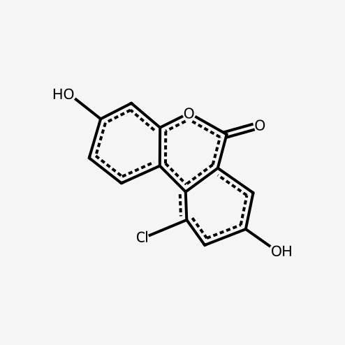 O=c1oc2cc(O)ccc2c2c(Cl)cc(O)cc12